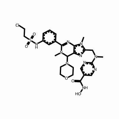 CN(Cc1nc2c(n1C)N=C(c1cccc(NS(=O)(=O)CCCl)c1)N(C)C2N1CCOCC1)c1ncc(C(=O)NO)cn1